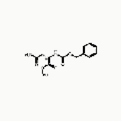 CC(C)(C)OC(=O)[C@H](CC(N)=O)NC(=O)OCc1ccccc1